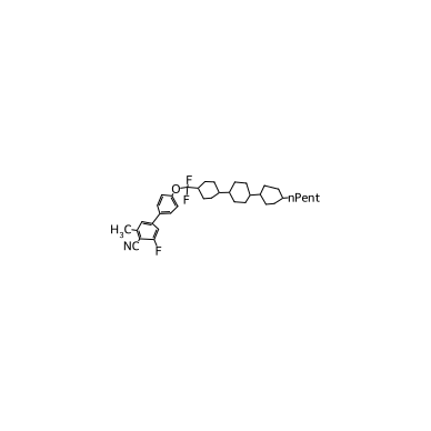 CCCCCC1CCC(C2CCC(C3CCC(C(F)(F)Oc4ccc(-c5cc(C)c(C#N)c(F)c5)cc4)CC3)CC2)CC1